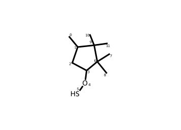 CC1CC(OS)C(C)(C)C1(C)C